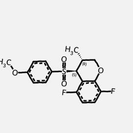 COc1ccc(S(=O)(=O)[C@@H]2c3c(F)ccc(F)c3OC[C@H]2C)cc1